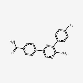 NC(=O)c1ccc(-c2cnc(N)c(-c3ccc(C(F)(F)F)cc3)n2)cc1